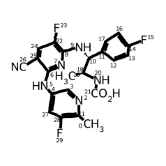 Cc1ncc(Nc2nc(N[C@H](c3ccc(F)cc3)[C@H](C)NC(=O)O)c(F)cc2C#N)cc1F